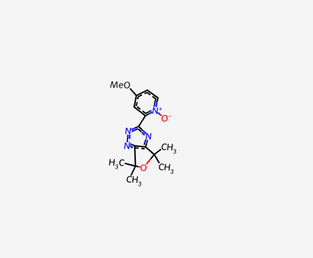 COc1cc[n+]([O-])c(-c2nnc3c(n2)C(C)(C)OC3(C)C)c1